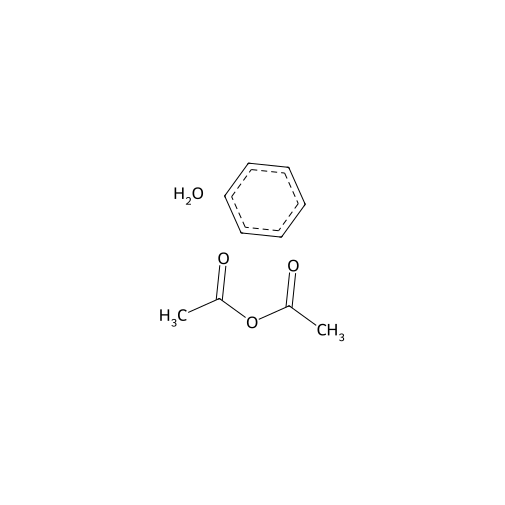 CC(=O)OC(C)=O.O.c1ccccc1